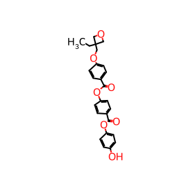 CCC1(COc2ccc(C(=O)Oc3ccc(C(=O)Oc4ccc(O)cc4)cc3)cc2)COC1